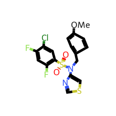 COc1ccc(CN(c2cscn2)S(=O)(=O)c2cc(Cl)c(F)cc2F)cc1